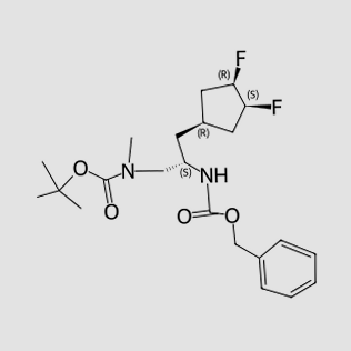 CN(C[C@H](C[C@H]1C[C@@H](F)[C@@H](F)C1)NC(=O)OCc1ccccc1)C(=O)OC(C)(C)C